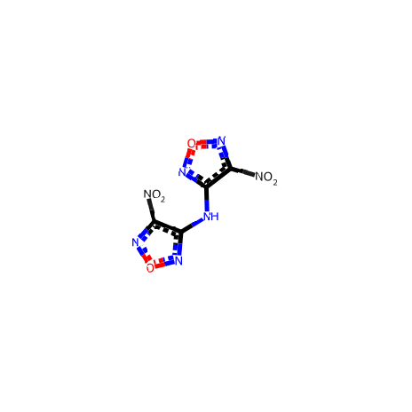 O=[N+]([O-])c1nonc1Nc1nonc1[N+](=O)[O-]